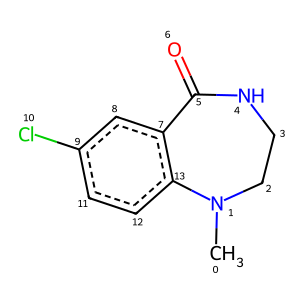 CN1CCNC(=O)c2cc(Cl)ccc21